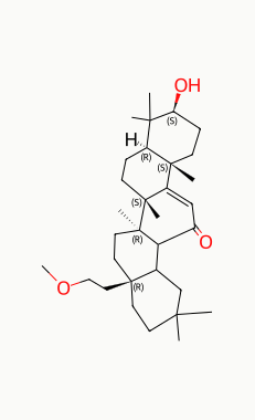 COCC[C@]12CCC(C)(C)CC1C1C(=O)C=C3[C@@]4(C)CC[C@H](O)C(C)(C)[C@@H]4CC[C@@]3(C)[C@]1(C)CC2